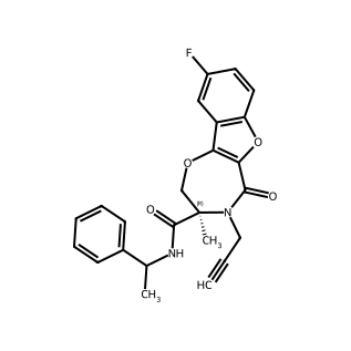 C#CCN1C(=O)c2oc3ccc(F)cc3c2OC[C@]1(C)C(=O)NC(C)c1ccccc1